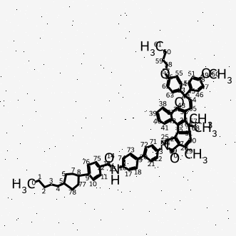 CCCCCC1CCC(c2ccc(C(=O)Nc3ccc(-c4ccc(N5Cc6c(c(C)cc7c6-c6c(c8c(c9ccccc69)OC(c6ccc(OC)cc6)(c6ccc(OCCCC)cc6)C=C8)C7(C)C)C5=O)cc4)cc3)cc2)CC1